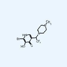 CCc1[nH]cc(C(N2CCN(C)CC2)C(F)(F)F)c(=O)c1O